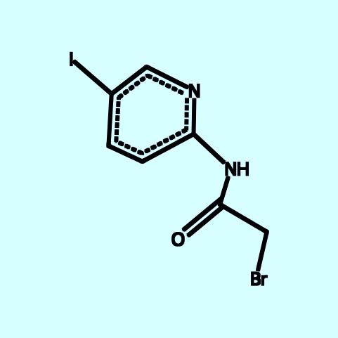 O=C(CBr)Nc1ccc(I)cn1